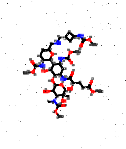 CN(C(=O)OC(C)(C)C)[C@@H]1[C@@H](O)[C@@H](O[C@H]2[C@H](NC(=O)[C@@H](O)CCC(=O)OC(C)(C)C)C[C@H](NC(=O)OC(C)(C)C)C([C@H]3OC(CNC[C@H]4C[C@H](NC(=O)OC(C)(C)C)C4)=CC[C@H]3NC(=O)OC(C)(C)C)[C@@H]2O)OC[C@]1(C)O